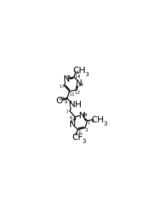 Cc1cc(C(F)(F)F)nc(CNC(=O)c2cnc(C)nc2)n1